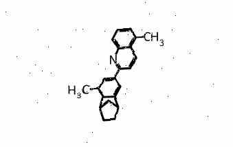 Cc1cccc2nc(C3=CC(C)C4C(=C3)C3CCC4C3)ccc12